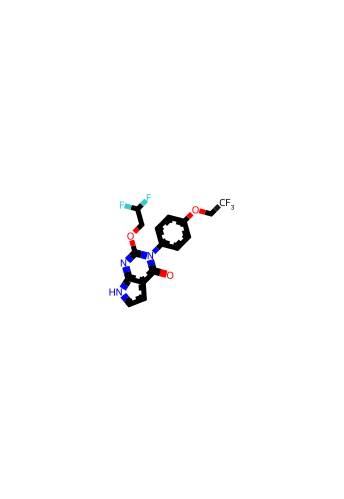 O=c1c2cc[nH]c2nc(OCC(F)F)n1-c1ccc(OCC(F)(F)F)cc1